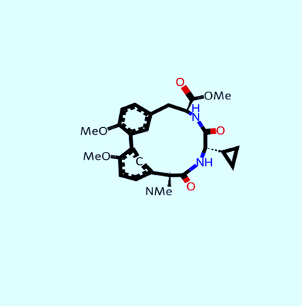 CN[C@@H]1C(=O)N[C@@H](C2CC2)C(=O)N[C@H](C(=O)OC)Cc2ccc(OC)c(c2)-c2cc1ccc2OC